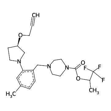 C#CCO[C@@H]1CCN(c2cc(C)ccc2CN2CCN(C(=O)OC(C)C(F)(F)F)CC2)C1